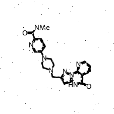 CNC(=O)c1ccc(N2CCN(Cc3cc4[nH]c(=O)c5cccnc5n4n3)CC2)cn1